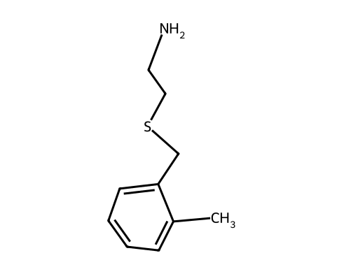 Cc1ccccc1CSCCN